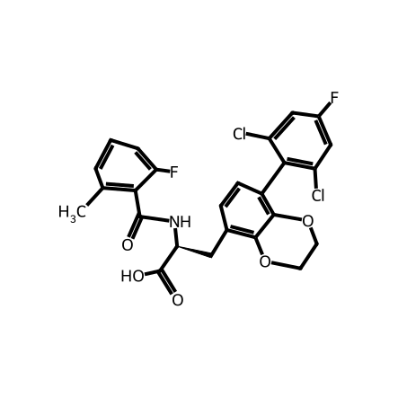 Cc1cccc(F)c1C(=O)N[C@@H](Cc1ccc(-c2c(Cl)cc(F)cc2Cl)c2c1OCCO2)C(=O)O